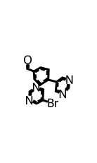 Brc1cncnc1.O=Cc1ccc(-c2cncnc2)cc1